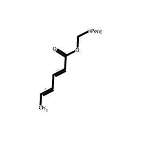 C/C=C/C=C/C(=O)OCCCCCC